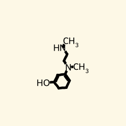 CNCCN(C)C1=CCCC(O)=C1